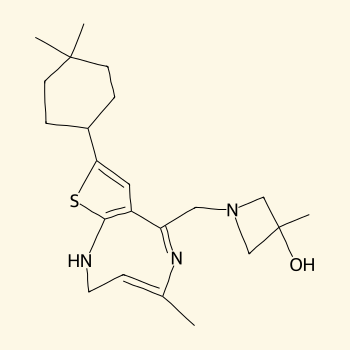 CC1=C\CNc2sc(C3CCC(C)(C)CC3)cc2/C(CN2CC(C)(O)C2)=N\1